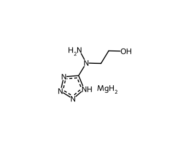 NN(CCO)c1nnn[nH]1.[MgH2]